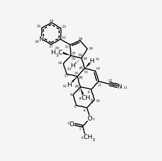 CC(=O)OC1CC[C@@]2(C)C(C1)C(C#N)=C[C@@H]1[C@H]2CC[C@]2(C)C(c3cccnc3)=CC[C@@H]12